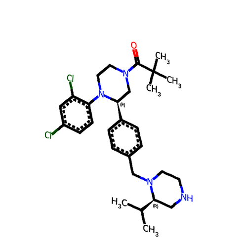 CC(C)[C@@H]1CNCCN1Cc1ccc([C@@H]2CN(C(=O)C(C)(C)C)CCN2c2ccc(Cl)cc2Cl)cc1